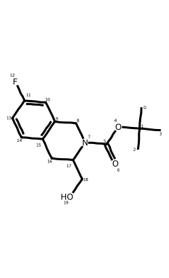 CC(C)(C)OC(=O)N1Cc2cc(F)ccc2CC1CO